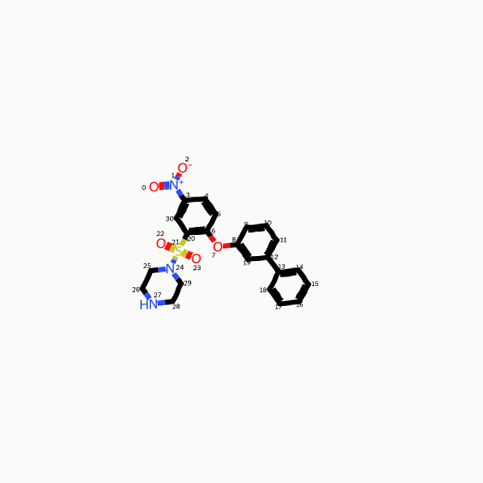 O=[N+]([O-])c1ccc(Oc2cccc(-c3ccccc3)c2)c(S(=O)(=O)N2CCNCC2)c1